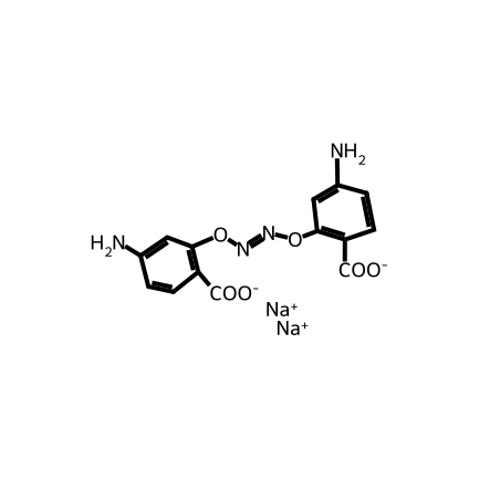 Nc1ccc(C(=O)[O-])c(ON=NOc2cc(N)ccc2C(=O)[O-])c1.[Na+].[Na+]